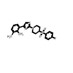 Cc1cccc(-c2csc(N3CCC(S(=O)(=O)c4ccc(F)cc4)CC3)n2)c1C